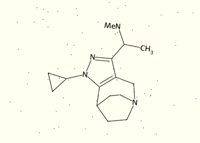 CNC(C)c1nn(C2CC2)c2c1CN1CCC2CC1